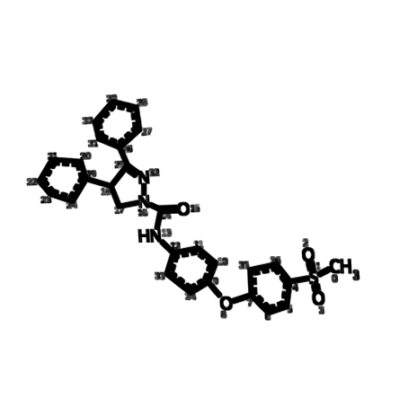 CS(=O)(=O)c1ccc(Oc2ccc(NC(=O)N3CC(c4ccccc4)C(c4ccccc4)=N3)cc2)cc1